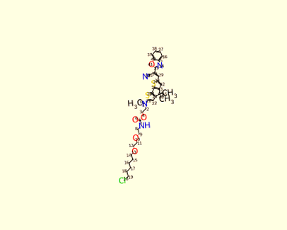 CN(CCOC(=O)NCCOCCOCCCCCCCl)c1cc2c(s1)-c1sc(/C=C(\C#N)c3nc4ccccc4o3)cc1C2(C)C